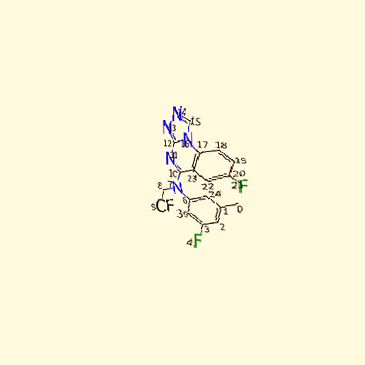 Cc1cc(F)cc(N(CC(F)(F)F)c2nc3nncn3c3ccc(F)cc23)c1